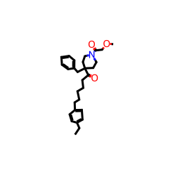 CCc1ccc(CCCCCC(=O)C2(Cc3ccccc3)CCN(C(=O)COC)CC2)cc1